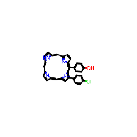 Oc1ccc(-c2c3nc(cc4ccc(cc5nc(cc6cc(-c7ccc(Cl)cc7)c2[nH]6)C=C5)[nH]4)C=C3)cc1